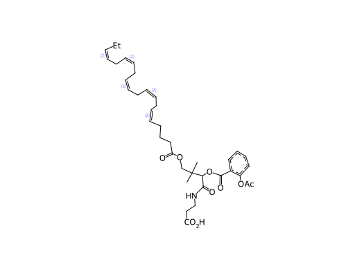 CC/C=C\C/C=C\C/C=C\C/C=C\C/C=C\CCCC(=O)OCC(C)(C)C(OC(=O)c1ccccc1OC(C)=O)C(=O)NCCC(=O)O